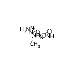 CCCCNc1nc(N)ncc1OCC1Cc2c([nH]c3ccccc23)C=N1